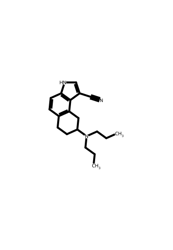 CCCN(CCC)C1CCc2ccc3[nH]cc(C#N)c3c2C1